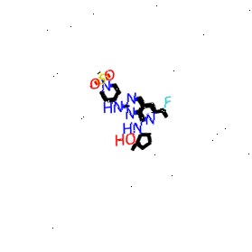 CC(F)c1cc2cnc(NC3CCN(S(C)(=O)=O)CC3)nc2c(NC2CCCC2(C)O)n1